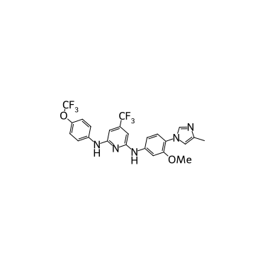 COc1cc(Nc2cc(C(F)(F)F)cc(Nc3ccc(OC(F)(F)F)cc3)n2)ccc1-n1cnc(C)c1